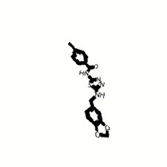 Cc1ccc(C(=O)Nc2nnc(NCc3ccc4c(c3)OCO4)s2)cc1